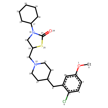 CCOc1ccc(Cl)c(CC2CCN(CC3CN(C4CCCCC4)C(=O)S3)CC2)c1